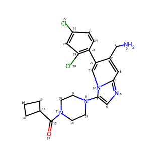 NCc1cc2ncc(N3CCN(C(=O)C4CCC4)CC3)n2cc1-c1ccc(Cl)cc1Cl